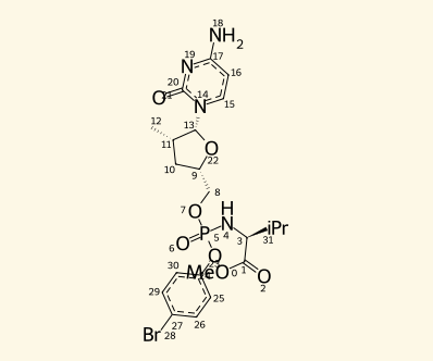 COC(=O)[C@@H](NP(=O)(OC[C@@H]1C[C@H](C)[C@H](n2ccc(N)nc2=O)O1)Oc1ccc(Br)cc1)C(C)C